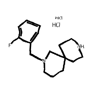 Cl.Cl.Fc1ccccc1CN1CCCC2(CCNCC2)C1